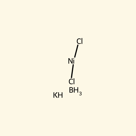 B.[Cl][Ni][Cl].[KH]